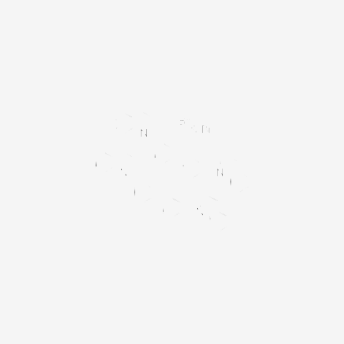 BrSBr.c1ccc2c(c1)ccc[n+]2Cc1ccc(-c2ccc(C[n+]3cccc4ccccc43)cc2)cc1.c1ccc2c(c1)ccc[n+]2Cc1ccc(-c2ccc(C[n+]3cccc4ccccc43)cc2)cc1